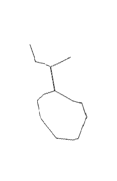 CCC(C)C1CCCCCC1